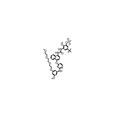 COCCOCCOCCOc1cc(Nc2nccc(Oc3ccc(NC(=O)Nc4cc(C(C)(C)C)cc(OS(C)(=O)=O)c4OC)c4ccccc34)n2)cc(OC)c1